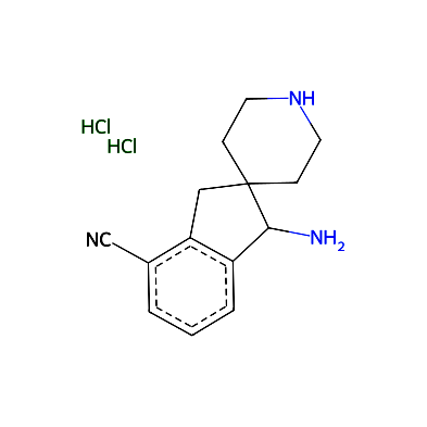 Cl.Cl.N#Cc1cccc2c1CC1(CCNCC1)C2N